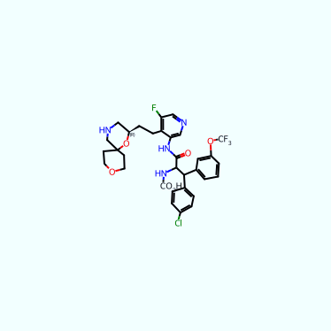 O=C(O)NC(C(=O)Nc1cncc(F)c1CC[C@@H]1CNCC2(CCOCC2)O1)C(c1ccc(Cl)cc1)c1cccc(OC(F)(F)F)c1